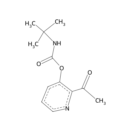 CC(=O)c1ncccc1OC(=O)NC(C)(C)C